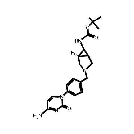 CC(C)(C)OC(=O)NC1C2CN(Cc3ccc(-n4ccc(N)nc4=O)cc3)C[C@H]21